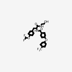 O=C(NC(Cc1ccc(OC(F)F)cc1)C(=O)NCCO)c1ccc(Oc2ccc(C(F)(F)F)cc2)cc1